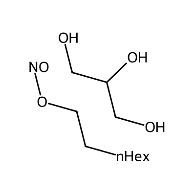 CCCCCCCCON=O.OCC(O)CO